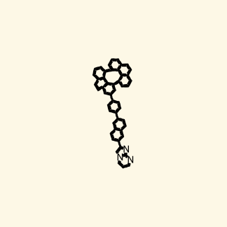 c1cc2ccc3cccc4c5cc(-c6ccc(-c7ccc8cc(-c9cn%10cccnc%10n9)ccc8c7)cc6)cc6ccc7cccc(c(c1)c2c34)c7c65